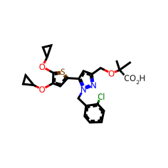 CC(C)(OCc1cc(-c2cc(OC3CC3)c(OC3CC3)s2)n(Cc2ccccc2Cl)n1)C(=O)O